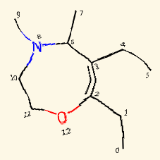 CCC1=C(CC)C(C)N(C)CCO1